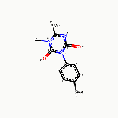 CSc1ccc(-n2c(=O)nc(SC)n(C)c2=O)cc1